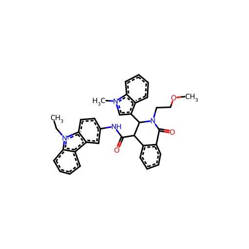 CCn1c2ccccc2c2cc(NC(=O)C3c4ccccc4C(=O)N(CCOC)C3c3cn(C)c4ccccc34)ccc21